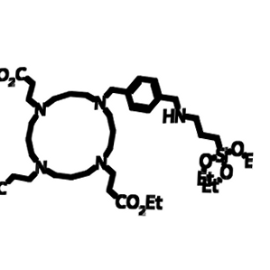 CCOC(=O)CCN1CCCN(CCC(=O)OCC)CCCN(Cc2ccc(CNCCC[Si](OCC)(OCC)OCC)cc2)CCCN(CCC(=O)OCC)CCC1